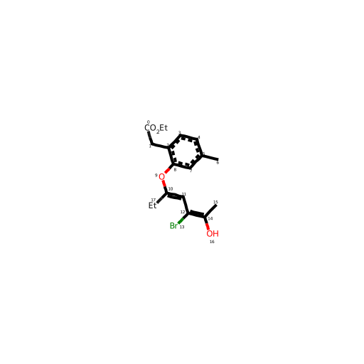 CCOC(=O)Cc1ccc(C)cc1OC(=C/C(Br)=C(\C)O)CC